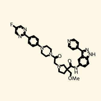 COCC1(C(=O)Nc2ccc3[nH]nc(-c4ccncc4)c3c2)CCN(CC(=O)N2CCN(c3ccc(-c4ncc(F)cn4)cc3)CC2)C1